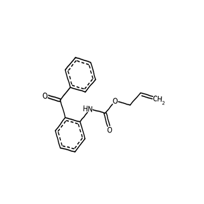 C=CCOC(=O)Nc1ccccc1C(=O)c1ccccc1